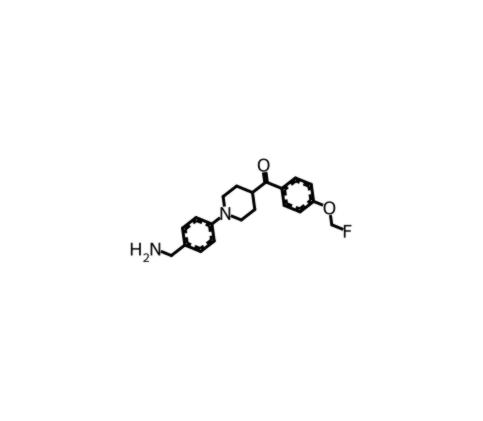 NCc1ccc(N2CCC(C(=O)c3ccc(OCF)cc3)CC2)cc1